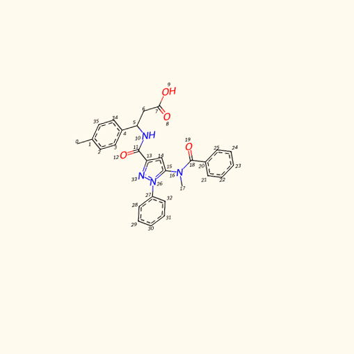 Cc1ccc(C(CC(=O)O)NC(=O)c2cc(N(C)C(=O)c3ccccc3)n(-c3ccccc3)n2)cc1